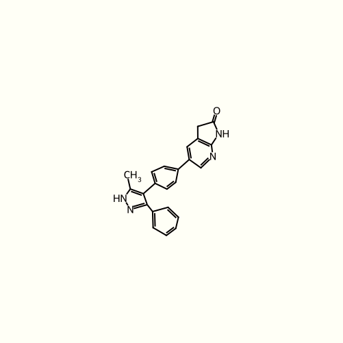 Cc1[nH]nc(-c2ccccc2)c1-c1ccc(-c2cnc3c(c2)CC(=O)N3)cc1